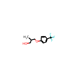 CC(CO)COc1ccc(C(F)(F)F)cc1